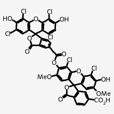 COc1cc2c(c(Cl)c1O)Oc1c(cc(OC)c(OC(=O)c3cc(Cl)c4c(c3)C(=O)OC43c4ccc(O)c(Cl)c4Oc4c3cc(Cl)c(O)c4Cl)c1Cl)C21OC(=O)c2ccc(C(=O)O)cc21